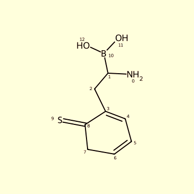 NC(CC1=CC=CCC1=S)B(O)O